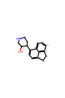 OC1CNCCC1c1ccc2c3c(cccc13)CC2